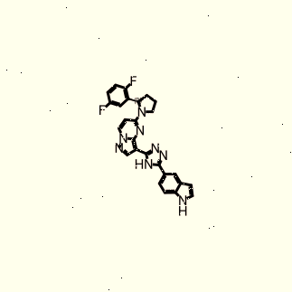 Fc1ccc(F)c([C@H]2CCCN2c2ccn3ncc(-c4nnc(-c5ccc6[nH]ccc6c5)[nH]4)c3n2)c1